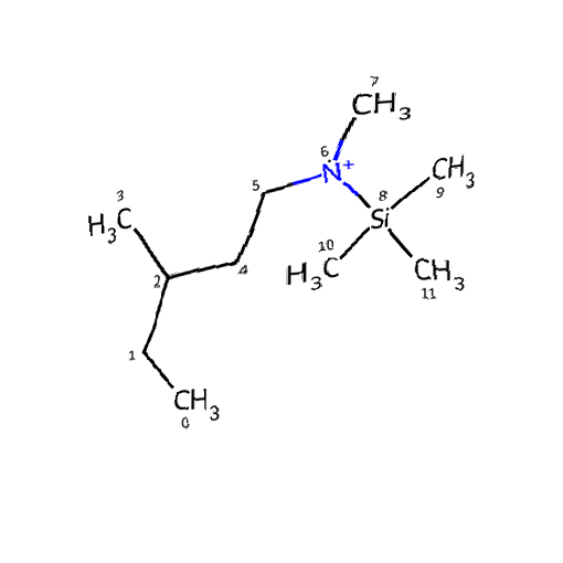 CCC(C)CC[N+](C)[Si](C)(C)C